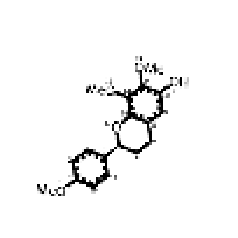 COc1ccc([C@@H]2CCc3cc(O)c(OC)c(OC)c3O2)cc1